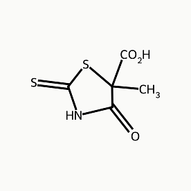 CC1(C(=O)O)SC(=S)NC1=O